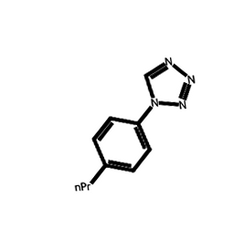 [CH2]CCc1ccc(-n2cnnn2)cc1